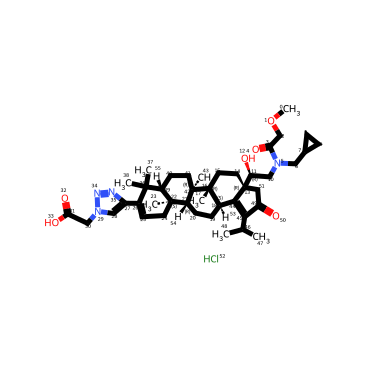 COCC(=O)N(CC1CC1)C[C@H](O)[C@@]12CC[C@]3(C)[C@H](CC[C@@H]4[C@@]5(C)CC=C(c6cn(CC(=O)O)nn6)C(C)(C)[C@@H]5CC[C@]43C)C1=C(C(C)C)C(=O)C2.Cl